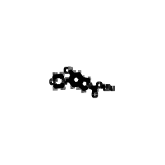 CC(C)(C)OC(=O)N1Cc2cc(Cl)c(N3CCOCC3)cc2C1